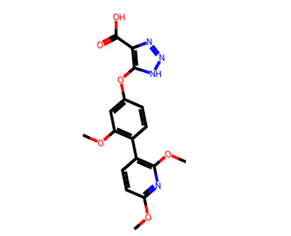 COc1ccc(-c2ccc(Oc3[nH]nnc3C(=O)O)cc2OC)c(OC)n1